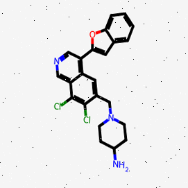 NC1CCN(Cc2cc3c(-c4cc5ccccc5o4)cncc3c(Cl)c2Cl)CC1